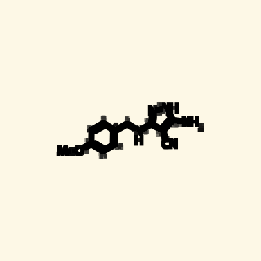 COc1ccc(CNc2n[nH]c(N)c2C#N)cc1